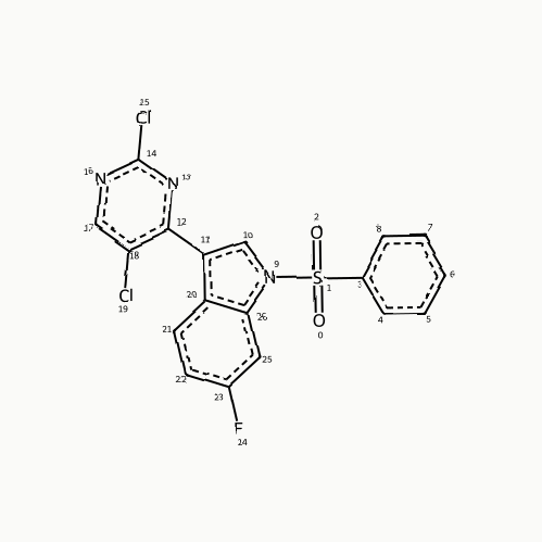 O=S(=O)(c1ccccc1)n1cc(-c2nc(Cl)ncc2Cl)c2ccc(F)cc21